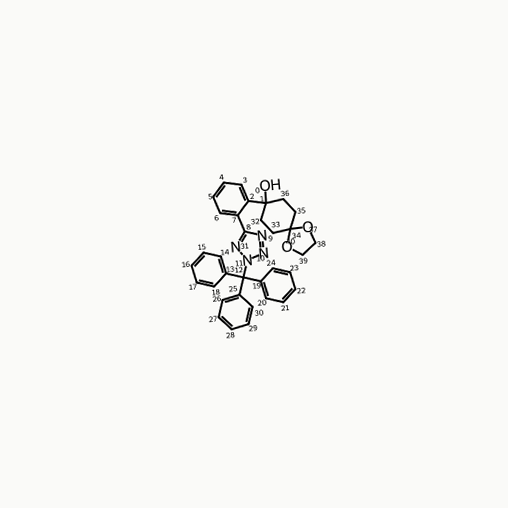 OC1(c2ccccc2-c2nnn(C(c3ccccc3)(c3ccccc3)c3ccccc3)n2)CCC2(CC1)OCCO2